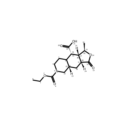 CCOC(=O)N1CCC2[C@H](C[C@H]3C(=O)O[C@H](C)[C@H]3[C@H]2C(=O)O)C1